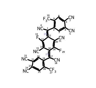 N#C/C(c1cc(C#N)c(C#N)cc1C(F)(F)F)=c1\c(F)c(C#N)/c(=C(/C#N)c2cc(C#N)c(C#N)cc2C(F)(F)F)c(F)c1C#N